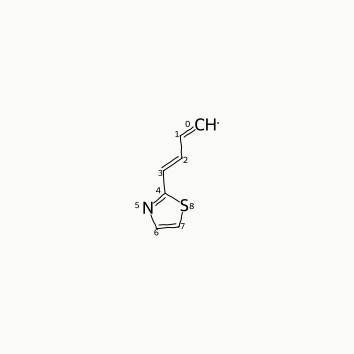 [CH]=CC=Cc1nccs1